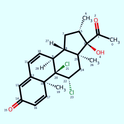 CC(=O)[C@@]1(O)[C@@H](C)C[C@H]2[C@@H]3C=CC4=CC(=O)C=C[C@]4(C)[C@@]3(Cl)[C@@H](Cl)C[C@@]21C